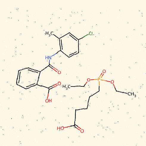 CCOP(=O)(CCCCC(=O)O)OCC.Cc1cc(Cl)ccc1NC(=O)c1ccccc1C(=O)O